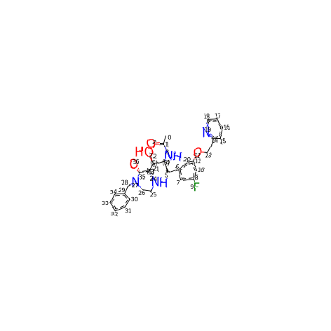 CC(=O)N[C@@H](Cc1cc(F)cc(OCc2ccccn2)c1)[C@H](O)[C@@H]1NCCN(Cc2ccccc2)C1=O